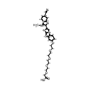 CNc1c(-c2cn3c(n2)sc2cc(OCCOCCOCCOCCOCC(=O)O)ccc23)nc2cc(C#N)ccn12